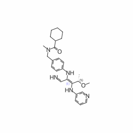 CO[C@@H](C)/C(Nc1cccnc1)=C(/C=N)Nc1ccc(CN(C)C(=O)C2CCCCC2)cc1